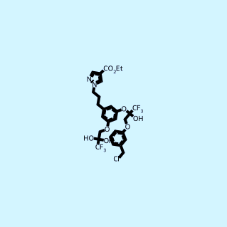 CCOC(=O)c1cnn(CCCc2cc(OCC(O)(O)C(F)(F)F)cc(OC(O)(COc3cccc(CCl)c3)C(F)(F)F)c2)c1